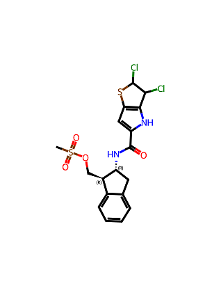 CS(=O)(=O)OC[C@@H]1c2ccccc2C[C@H]1NC(=O)c1cc2c([nH]1)C(Cl)C(Cl)S2